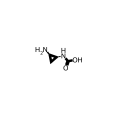 N[C@@H]1C[C@H]1NC(=O)O